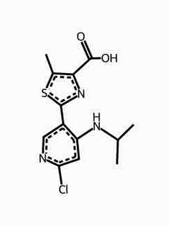 Cc1sc(-c2cnc(Cl)cc2NC(C)C)nc1C(=O)O